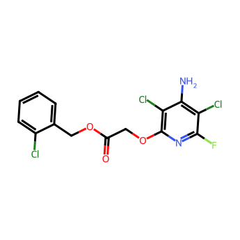 Nc1c(Cl)c(F)nc(OCC(=O)OCc2ccccc2Cl)c1Cl